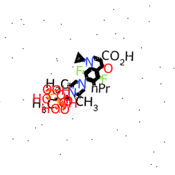 CCCc1c(N2C[C@@H](C)N(C(=O)OC(C)(P(=O)(O)O)P(=O)(O)O)[C@@H](C)C2)c(F)c2c(c1F)c(=O)c(C(=O)O)cn2C1CC1